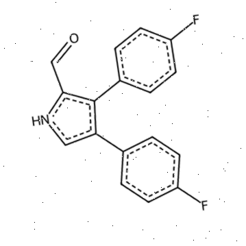 O=Cc1[nH]cc(-c2ccc(F)cc2)c1-c1ccc(F)cc1